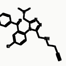 C#CCCNCc1nnc(CN(C)C)n1-c1ccc(Cl)cc1C(=O)c1ccccc1